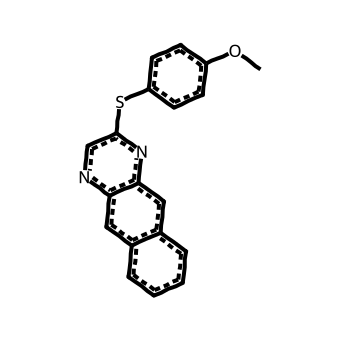 COc1ccc(Sc2cnc3cc4ccccc4cc3n2)cc1